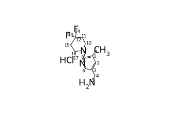 Cc1cc(CN)cnc1N1CCC(F)(F)CC1.Cl